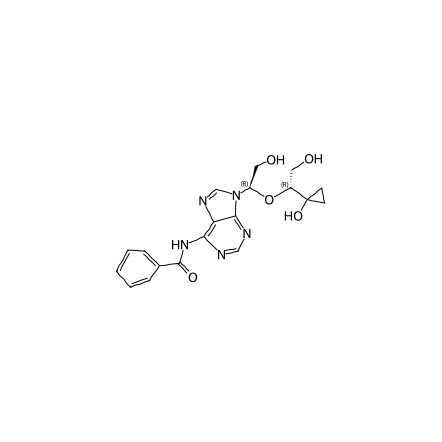 O=C(Nc1ncnc2c1ncn2[C@@H](CO)O[C@H](CO)C1(O)CC1)c1ccccc1